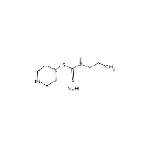 CCCNC(=S)SN1CCNCC1.[NaH]